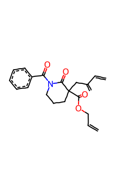 C=CCOC(=O)C1(CC(=C)C=C)CCCN(C(=O)c2ccccc2)C1=O